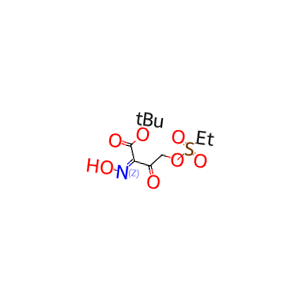 CCS(=O)(=O)OCC(=O)/C(=N/O)C(=O)OC(C)(C)C